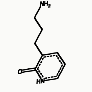 NCCCc1ccc[nH]c1=O